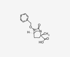 C[C@@]1(C(=O)O)CC[C@@H]2CN1C(=O)N2OCc1ccccc1